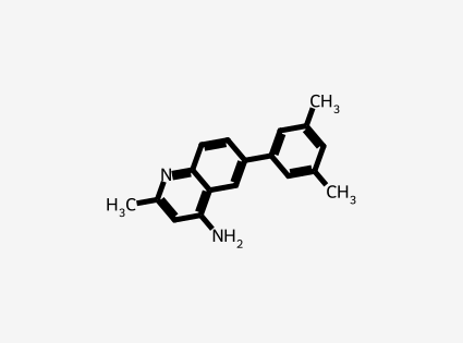 Cc1cc(C)cc(-c2ccc3nc(C)cc(N)c3c2)c1